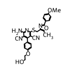 [C-]#[N+]c1c(N)nc(SCc2nc(-c3ccc(OC)cc3)oc2C)c(C#N)c1-c1ccc(OCCO)cc1